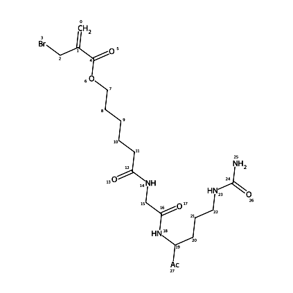 C=C(CBr)C(=O)OCCCCCC(=O)NCC(=O)NC(CCCNC(N)=O)C(C)=O